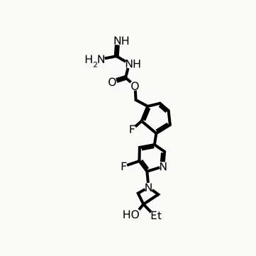 CCC1(O)CN(c2ncc(-c3cccc(COC(=O)NC(=N)N)c3F)cc2F)C1